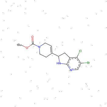 CC(C)(C)OC(=O)N1CC=C(C2Cc3c(ncc(Br)c3Cl)N2)CC1